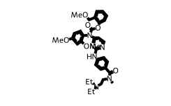 CCN(CC)CCN(C)C(=O)c1ccc(Nc2nccc(N(C(=O)Oc3ccccc3COC)c3ccc(OC)cc3OC)n2)cc1